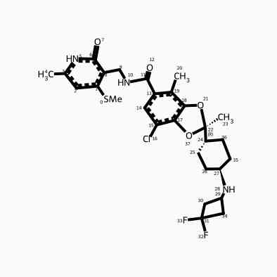 CSc1cc(C)[nH]c(=O)c1CNC(=O)c1cc(Cl)c2c(c1C)O[C@@](C)([C@H]1CC[C@H](NC3CC(F)(F)C3)CC1)O2